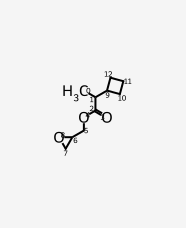 CC(C(=O)OCC1CO1)C1CCC1